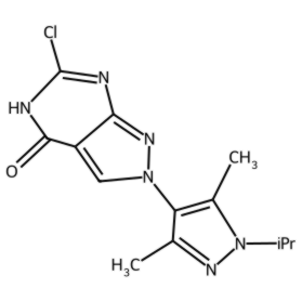 Cc1nn(C(C)C)c(C)c1-n1cc2c(=O)[nH]c(Cl)nc2n1